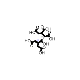 O=C(O)/C=C(\CC(=O)O)C(=O)O.O=C(O)CC(CC(=O)O)C(=O)O